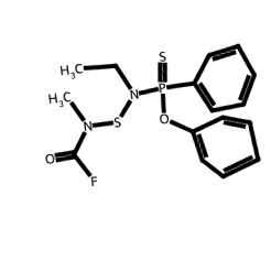 CCN(SN(C)C(=O)F)P(=S)(Oc1ccccc1)c1ccccc1